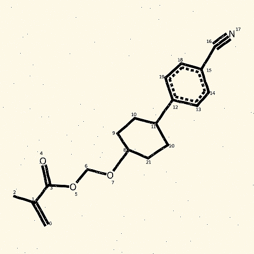 C=C(C)C(=O)OCOC1CCC(c2ccc(C#N)cc2)CC1